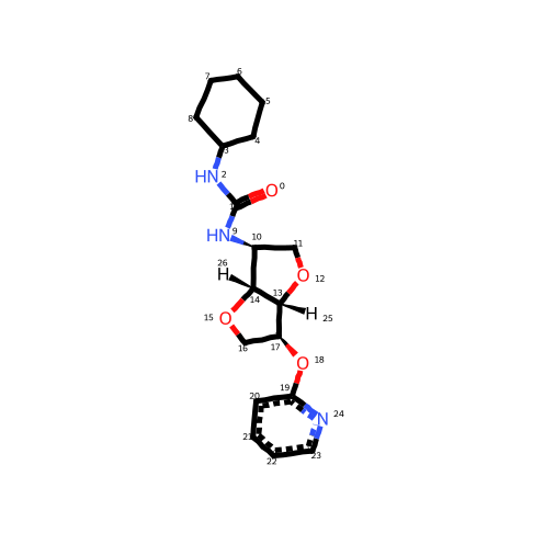 O=C(NC1CCCCC1)N[C@H]1CO[C@H]2[C@@H]1OC[C@@H]2Oc1ccccn1